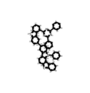 c1ccc(-c2nc(-c3ccccc3)nc(-c3cccc4sc5ccc(-c6ccc7c(c6)c6ccc8oc9ccccc9c8c6n7-c6ccccc6)cc5c34)n2)cc1